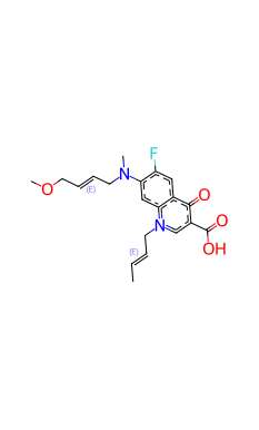 C/C=C/Cn1cc(C(=O)O)c(=O)c2cc(F)c(N(C)C/C=C/COC)cc21